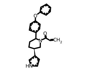 C=CC(=O)N1C[C@@H](c2cc[nH]c2)CCC1c1ccc(Oc2ccccc2)cc1